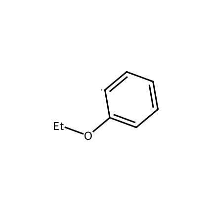 CCOc1[c]cccc1